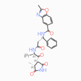 Cc1nc2cc(C(=O)N[C@@H](CC(=O)N[C@@H](C(=O)[C@@H]3C(=O)NC(=O)[C@@H]3C)C(C)C)c3ccccc3)ccc2o1